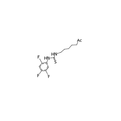 CC(=O)CCCCCNC(=S)Nc1cc(F)c(F)cc1F